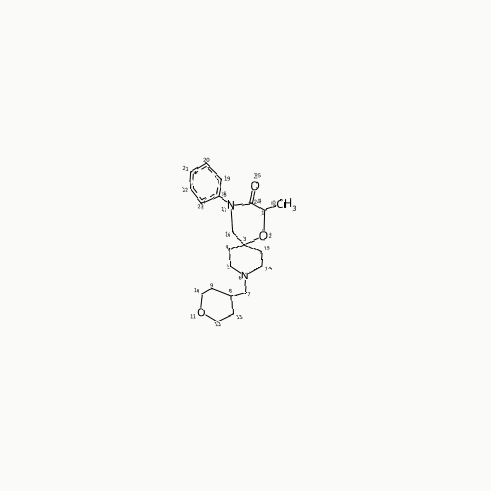 CC1OC2(CCN(CC3CCOCC3)CC2)CN(c2ccccc2)C1=O